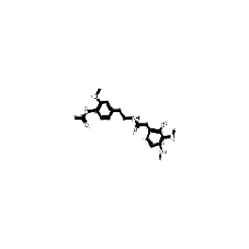 COc1cc(CCNC(=O)Cc2ccc(OC)c(OC)c2Br)ccc1OC(C)=O